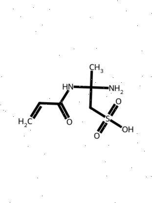 C=CC(=O)NC(C)(N)CS(=O)(=O)O